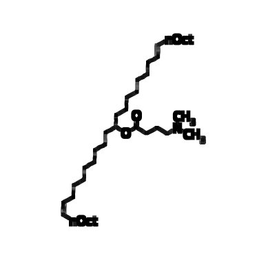 CCCCCCCC/C=C\CCCCCCCCC(CCCCCCC/C=C/CCCCCCCC)OC(=O)CCCN(C)C